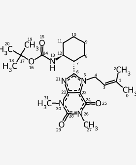 CC(C)=CCn1c([C@H]2CCCC[C@@H]2NC(=O)OC(C)(C)C)nc2c1c(=O)n(C)c(=O)n2C